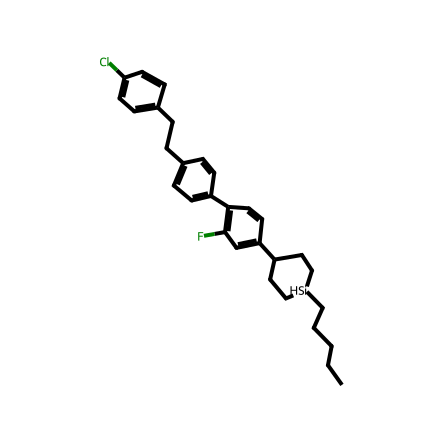 CCCCC[SiH]1CCC(c2ccc(-c3ccc(CCc4ccc(Cl)cc4)cc3)c(F)c2)CC1